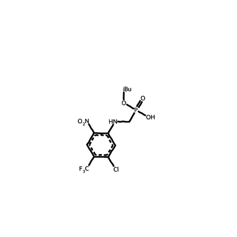 CCC(C)OP(=O)(O)CNc1cc(Cl)c(C(F)(F)F)cc1[N+](=O)[O-]